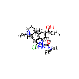 CCCN1CCC[C@@H]2c3cc(C(C)O)cc4c3c(c(Cl)n4NC(=O)N(CC)CC)C[C@H]21